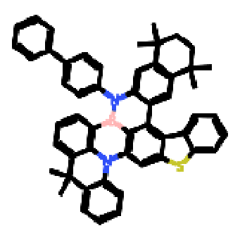 CC1(C)CCC(C)(C)c2cc3c(cc21)-c1c2c(cc4sc5ccccc5c14)N1c4ccccc4C(C)(C)c4cccc(c41)B2N3c1ccc(-c2ccccc2)cc1